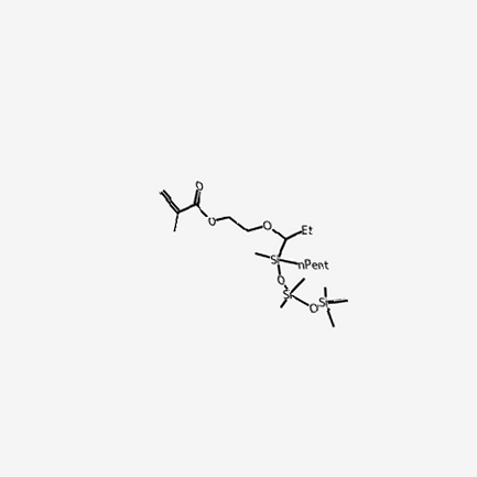 C=C(C)C(=O)OCCOC(CC)[Si](C)(CCCCC)O[Si](C)(C)O[Si](C)(C)C